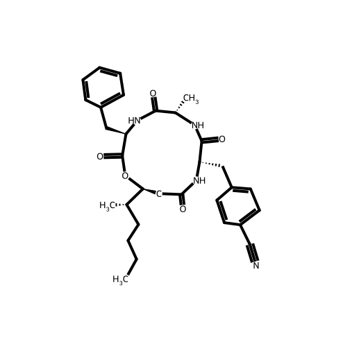 CCCC[C@H](C)[C@@H]1CC(=O)N[C@@H](Cc2ccc(C#N)cc2)C(=O)N[C@@H](C)C(=O)N[C@H](Cc2ccccc2)C(=O)O1